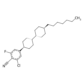 CCCCCCC[C@H]1CC[C@H]([C@H]2CC[C@H](c3cc(F)c(C#N)c(Cl)c3)CC2)CC1